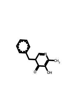 CC1=C(O)C(=O)C(Cc2ccccc2)C=N1